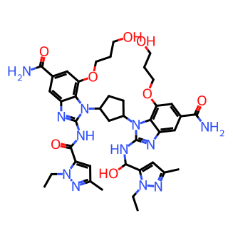 CCn1nc(C)cc1C(=O)Nc1nc2cc(C(N)=O)cc(OCCCO)c2n1C1CCC(n2c(NC(O)c3cc(C)nn3CC)nc3cc(C(N)=O)cc(OCCCO)c32)C1